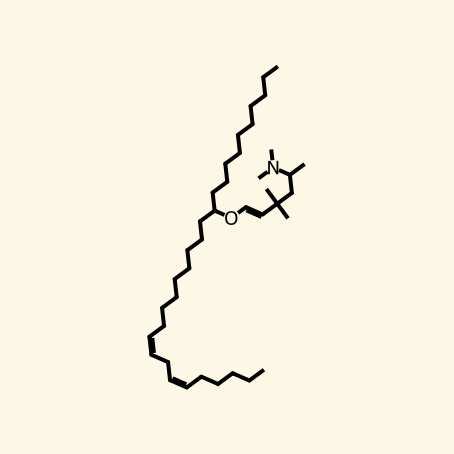 CCCCC/C=C\C/C=C\CCCCCCCCC(CCCCCCCCCC)O/C=C/C(C)(C)CC(C)N(C)C